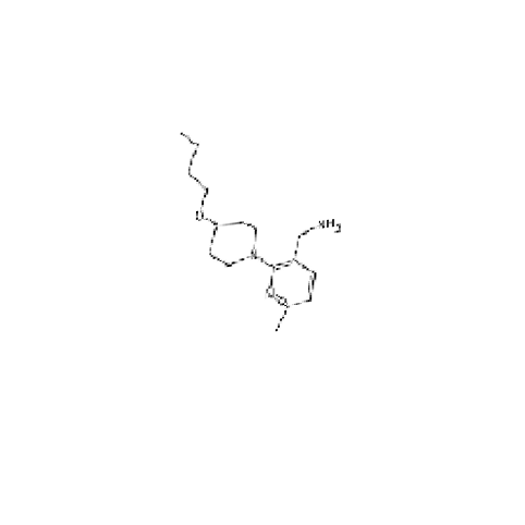 CCCCOC1CCN(c2nc(C)ccc2CN)CC1